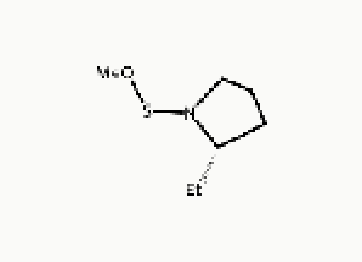 CC[C@H]1CCCN1SOC